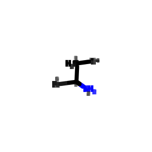 CCC(N)[SiH2][Ti]